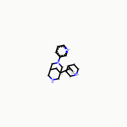 c1cncc(N2CC3CNCC(C4CN5CCC4CC5)(C3)C2)c1